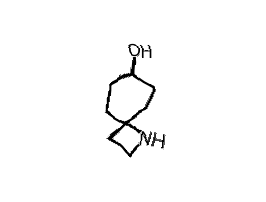 OC1CCC2(CCN2)CC1